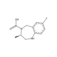 C[C@@H]1CNc2ccc(F)cc2CN1C(=O)O